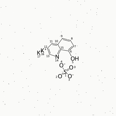 O=S(=O)([O-])[O-].Oc1cccc2cccnc12.[K+].[K+]